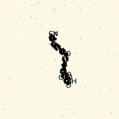 Cc1c(N2CC3(CCN(c4ccc(C(=O)N5CCN(C6CN(c7ccc8c(c7)C(=O)N(C7CCC(=O)NC7=O)C8=O)C6)CC5)cc4)CC3)C[C@@H]2C)ccc(C#N)c1F